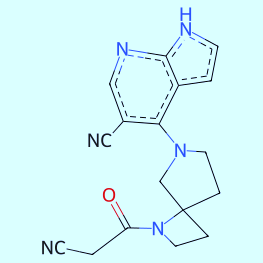 N#CCC(=O)N1CCC12CCN(c1c(C#N)cnc3[nH]ccc13)C2